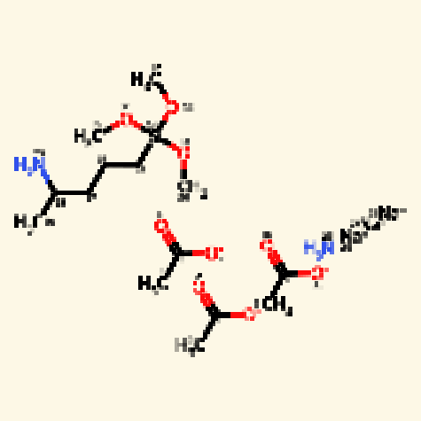 CC(=O)[O-].CC(=O)[O-].CC(=O)[O-].CO[Si](CCCC(C)N)(OC)OC.N.[Na+].[Na+].[Na+]